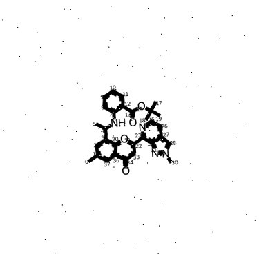 Cc1cc(C(C)Nc2ccccc2C(=O)OC(C)(C)C)c2oc(-c3nccc4cn(C)nc34)cc(=O)c2c1